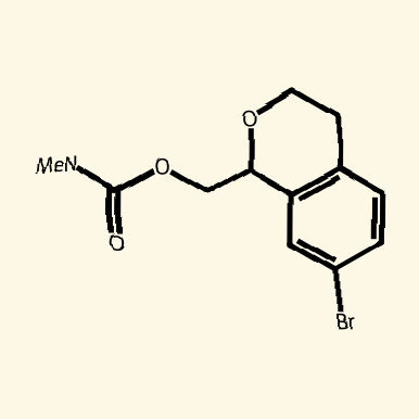 CNC(=O)OCC1OCCc2ccc(Br)cc21